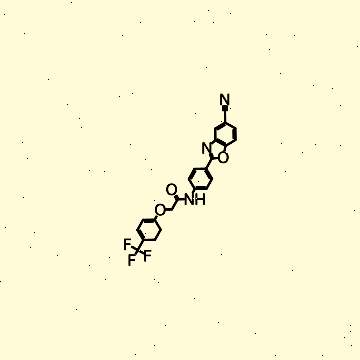 N#Cc1ccc2oc(-c3ccc(NC(=O)COC4=CC=C(C(F)(F)F)CC4)cc3)nc2c1